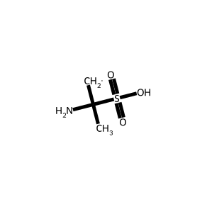 [CH2]C(C)(N)S(=O)(=O)O